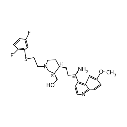 COc1ccc2nccc([C@H](N)CC[C@@H]3CCN(CCSc4cc(F)ccc4F)C[C@@H]3CO)c2c1